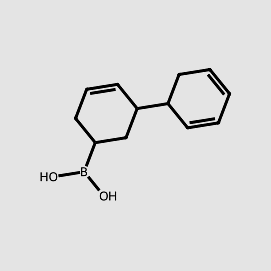 OB(O)C1CC=CC(C2C=CC=CC2)C1